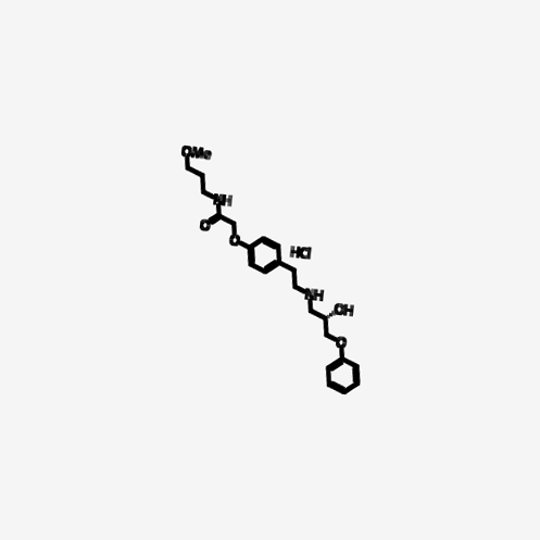 COCCCNC(=O)COc1ccc(CCNC[C@H](O)COc2ccccc2)cc1.Cl